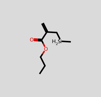 C=C(C[SiH2]C)C(=O)OCCC